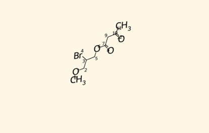 COCC(Br)COC(=O)CC(C)=O